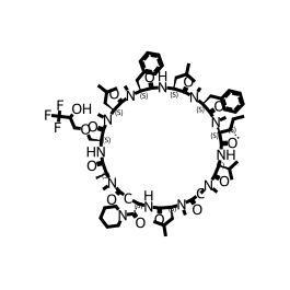 CC[C@H](C)[C@H]1C(=O)N[C@@H](C(C)C)C(=O)N(C)CC(=O)N(C)[C@@H](CC(C)C)C(=O)N[C@H](C(=O)N2CCCCC2)CC(=O)N(C)[C@@H](C)C(=O)N[C@@H](COCC(O)C(F)(F)F)C(=O)N(C)[C@@H](CC(C)C)C(=O)N(C)[C@@H](Cc2ccccc2)C(=O)N[C@@H](CC(C)C)C(=O)N(C)[C@@H](Cc2ccccc2)C(=O)N1C